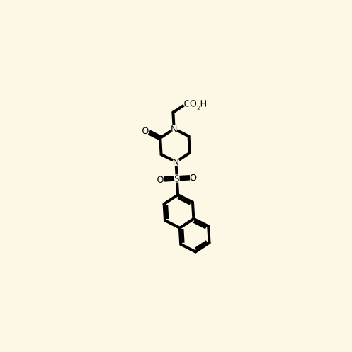 O=C(O)CN1CCN(S(=O)(=O)c2ccc3ccccc3c2)CC1=O